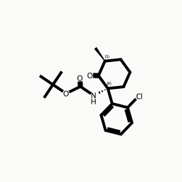 C[C@H]1CCC[C@@](NC(=O)OC(C)(C)C)(c2ccccc2Cl)C1=O